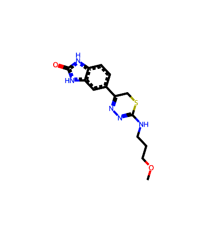 COCCCNC1=NN=C(c2ccc3[nH]c(=O)[nH]c3c2)CS1